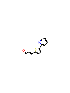 O=CC=Cc1ccc(-c2ccccn2)s1